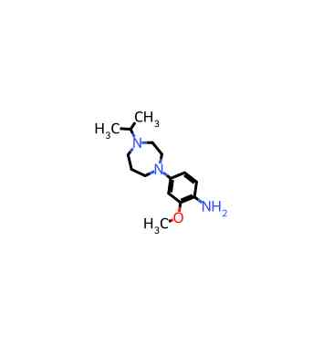 COc1cc(N2CCCN(C(C)C)CC2)ccc1N